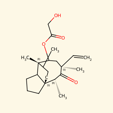 C=C[C@]1(C)CC(OC(=O)CO)[C@]2(C)C(C)CC[C@]3(CCCC23)[C@@H](C)C1=O